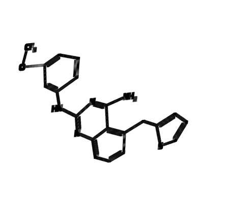 Nc1nc(Nc2cccc(OC(F)(F)F)c2)nc2cccc(Cc3cccs3)c12